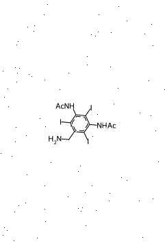 CC(=O)Nc1c(I)c(CN)c(I)c(NC(C)=O)c1I